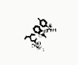 CCC(CC)CC(C)S(N)(=O)=O.Cc1ccc(S(=O)(=O)O)cc1.Cc1nc2ccccc2o1